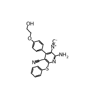 [C-]#[N+]c1c(N)nc(Sc2ccccc2)c(C#N)c1-c1ccc(OCCO)cc1